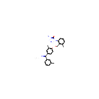 CO/N=C(\c1cccc(C)c1)c1ccc(OCc2c(C)cccc2-n2nnn(C)c2=O)c(C)c1